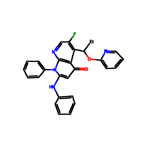 CCC(Oc1ccccn1)c1c(F)cnc2c1c(=O)cc(Nc1ccccc1)n2-c1ccccc1